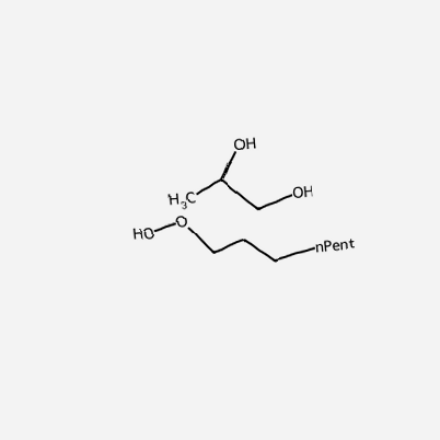 CC(O)CO.CCCCCCCCOO